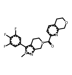 Cn1nc2c(c1-c1cc(F)c(F)c(F)c1)CCN(C(=O)c1ccc3c(n1)COCC3)C2